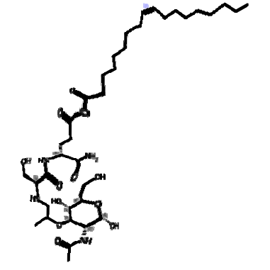 CCCCCCCC/C=C\CCCCCCCC(=O)OC(=O)CC[C@@H](NC(=O)[C@H](CO)NCC(C)O[C@H]1[C@H](O)[C@@H](CO)O[C@H](O)[C@@H]1NC(C)=O)C(N)=O